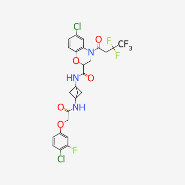 O=C(COc1ccc(Cl)c(F)c1)NC12CC(NC(=O)C3CN(C(=O)CC(F)(F)C(F)(F)F)c4cc(Cl)ccc4O3)(C1)C2